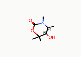 C[C@H]1[C@@H](O)C(C)(C)OC(=O)N1C